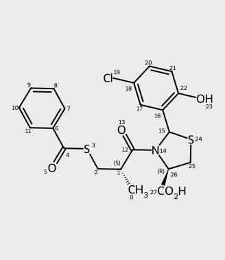 C[C@H](CSC(=O)c1ccccc1)C(=O)N1C(c2cc(Cl)ccc2O)SC[C@H]1C(=O)O